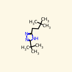 CC(C)(C)CCc1nnc(C(C)(C)C)[nH]1